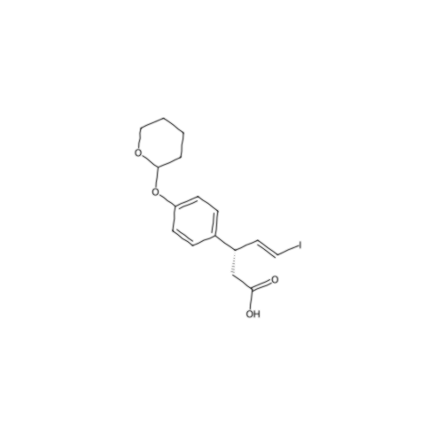 O=C(O)C[C@@H](/C=C/I)c1ccc(OC2CCCCO2)cc1